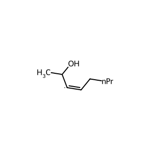 CCCC/C=[C]\C(C)O